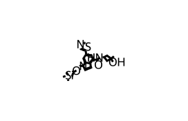 CC1(O)CC(NC(=O)c2cc(-c3cncs3)cc3c2ccn3COCC[Si](C)(C)C)C1